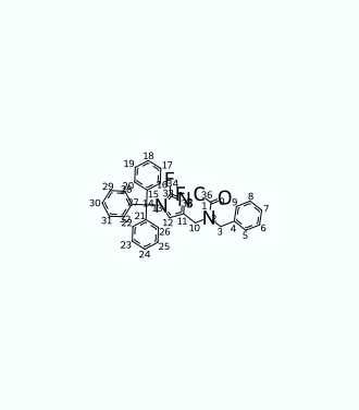 O=C(N(Cc1ccccc1)Cc1cn(C(c2ccccc2)(c2ccccc2)c2ccccc2)c(F)n1)C(F)(F)F